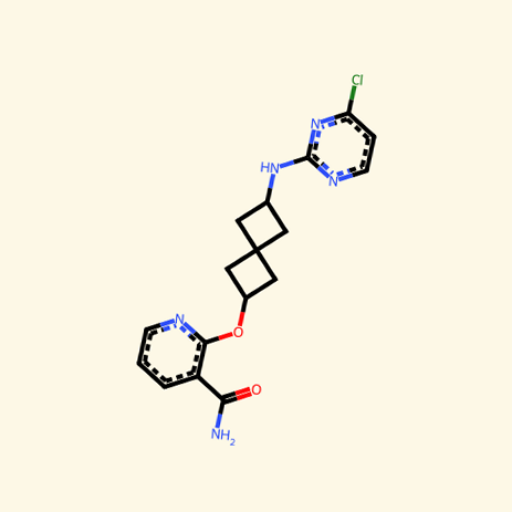 NC(=O)c1cccnc1OC1CC2(CC(Nc3nccc(Cl)n3)C2)C1